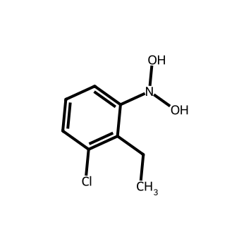 CCc1c(Cl)cccc1N(O)O